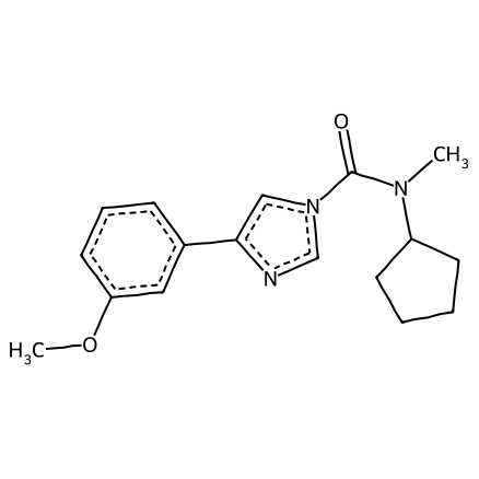 COc1cccc(-c2cn(C(=O)N(C)C3CCCC3)cn2)c1